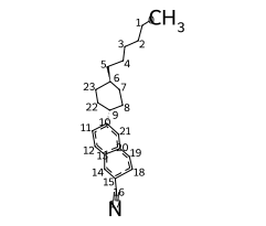 CCCCCC[C@H]1CC[C@H](c2ccc3cc(C#N)ccc3c2)CC1